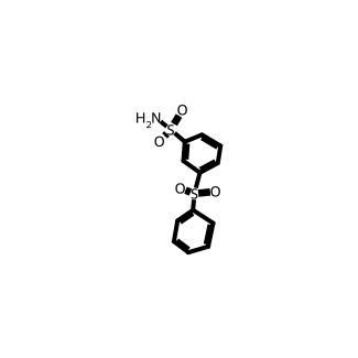 NS(=O)(=O)c1cccc(S(=O)(=O)c2ccccc2)c1